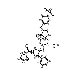 CS(=O)(=O)c1ccc(CN2CCC3(CCN(CC4CN(C(=O)c5ccco5)CC4c4ccccc4)CC3)C2=O)cc1.Cl